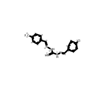 N=C(N/N=C/c1ccc(Cl)cc1)N/N=C/c1ccc(C(F)(F)F)cc1